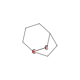 C1CC2CCC3(C1)CCC23